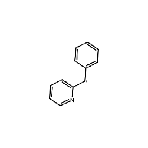 [C](c1ccccc1)c1ccccn1